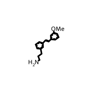 COc1cccc(C=Cc2cccc(CCCN)c2)c1